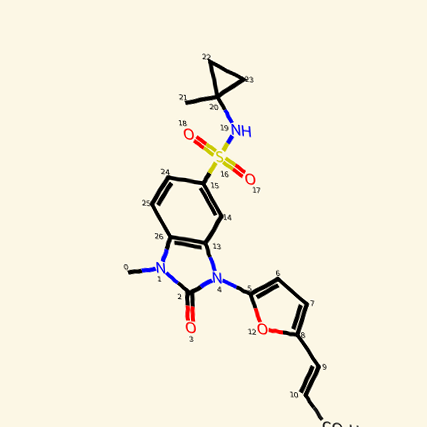 Cn1c(=O)n(-c2ccc(C=CC(=O)O)o2)c2cc(S(=O)(=O)NC3(C)CC3)ccc21